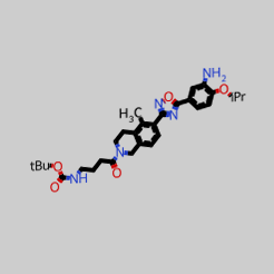 Cc1c(-c2noc(-c3ccc(OC(C)C)c(N)c3)n2)ccc2c1CCN(C(=O)CCCNC(=O)OC(C)(C)C)C2